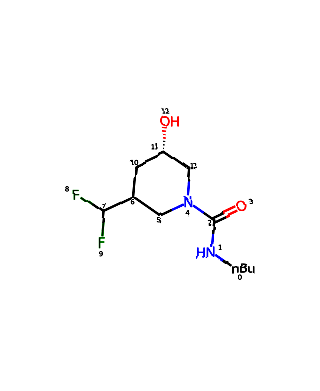 CCCCNC(=O)N1CC(C(F)F)C[C@H](O)C1